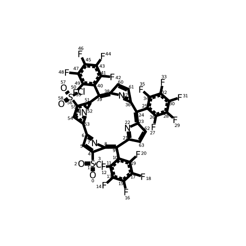 O=S(=O)(Cl)C1=CC2=NC1=C(c1c(F)c(F)c(F)c(F)c1F)C1=NC(=C(c3c(F)c(F)c(F)c(F)c3F)C3=NC(=C(c4c(F)c(F)c(F)c(F)c4F)c4[nH]c2cc4S(=O)(=O)Cl)C=C3)C=C1